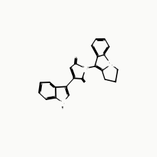 Cn1cc(C2=CC(=O)N(c3c4n(c5ccccc35)CCC4)C2=O)c2ccccc21